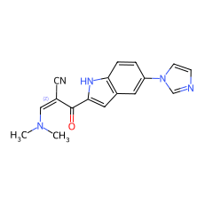 CN(C)/C=C(/C#N)C(=O)c1cc2cc(-n3ccnc3)ccc2[nH]1